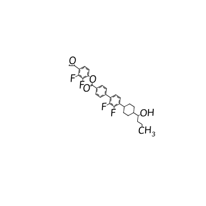 CCCC(O)C1CCC(c2ccc(-c3ccc(C(=O)Oc4ccc(C5CO5)c(F)c4F)cc3)c(F)c2F)CC1